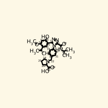 COc1cc(O)c(-c2nnc(C(=O)NC(C)C)n2-c2ccc(CN3CCCC3C(=O)O)cc2)cc1C(C)C